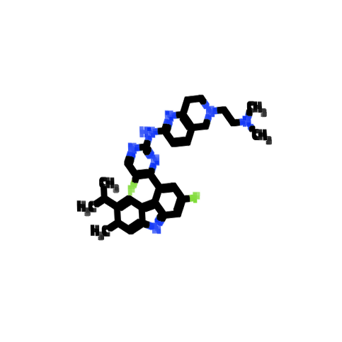 CC(C)C1=CC2=c3c(-c4nc(Nc5ccc6c(n5)CCN(CCN(C)C)C6)ncc4F)cc(F)cc3=NC2=CC1C